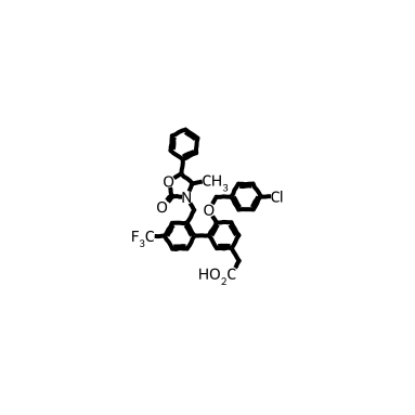 CC1C(c2ccccc2)OC(=O)N1Cc1cc(C(F)(F)F)ccc1-c1cc(CC(=O)O)ccc1OCc1ccc(Cl)cc1